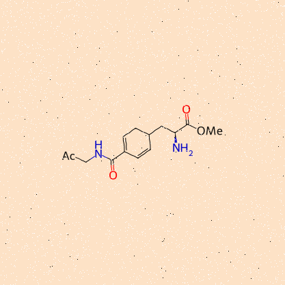 COC(=O)[C@@H](N)CC1C=CC(C(=O)NCC(C)=O)=CC1